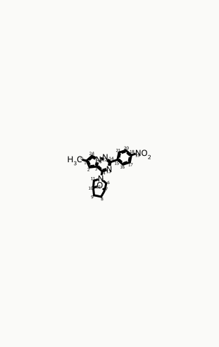 Cc1cc2c(N3CC4CCC(C3)O4)nc(-c3ccc([N+](=O)[O-])cc3)nn2c1